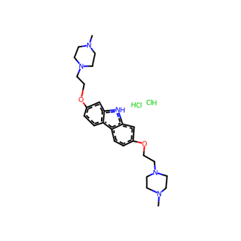 CN1CCN(CCOc2ccc3c(c2)[nH]c2cc(OCCN4CCN(C)CC4)ccc23)CC1.Cl.Cl